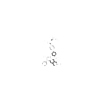 COc1cc(N2CCN(C(=O)OC(C)(C)C)CC2)ccc1Nc1nc(NC2CCOCC2)cc2cn[nH]c(=O)c12